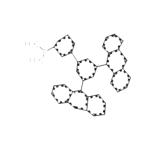 CP(C)c1cccc(-c2cc(-c3c4ccccc4cc4ccccc34)cc(-c3c4ccccc4cc4ccccc34)c2)c1